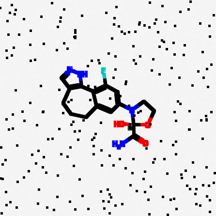 NC(=O)[C@]1(O)OCCN1c1cc(F)c2c(c1)CCCc1cn[nH]c1-2